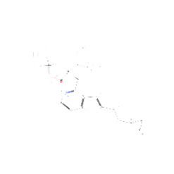 CC(C)C[C@H](NC(=O)O)[C@@]1(Cc2nccc3oc(CCC4CC4)cc23)OC(C)(C)OC1=O